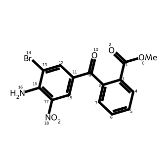 COC(=O)c1ccccc1C(=O)c1cc(Br)c(N)c([N+](=O)[O-])c1